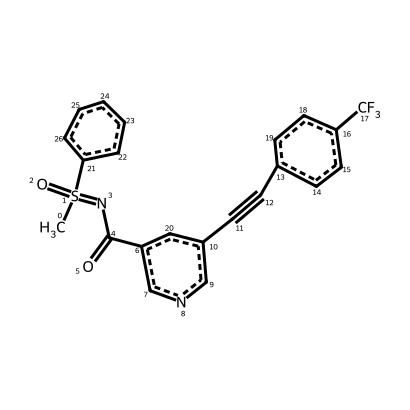 CS(=O)(=NC(=O)c1cncc(C#Cc2ccc(C(F)(F)F)cc2)c1)c1ccccc1